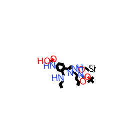 C=CCNCc1cc(NC(=O)O)ccc1-c1cn(COCC[Si](C)(C)C)c(C(CC=C)NC(=O)OC(C)(C)C)n1